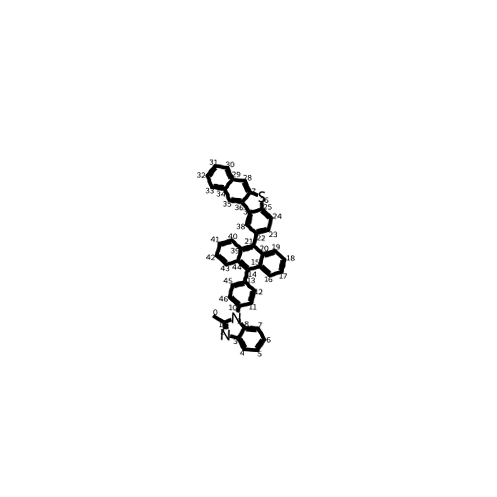 Cc1nc2ccccc2n1-c1ccc(-c2c3ccccc3c(-c3ccc4sc5cc6ccccc6cc5c4c3)c3ccccc23)cc1